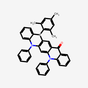 Cc1cc(C)c(B2c3ccccc3N(c3ccccc3)c3cc4c(cc32)c(=O)c2ccccc2n4-c2ccccc2)c(C)c1